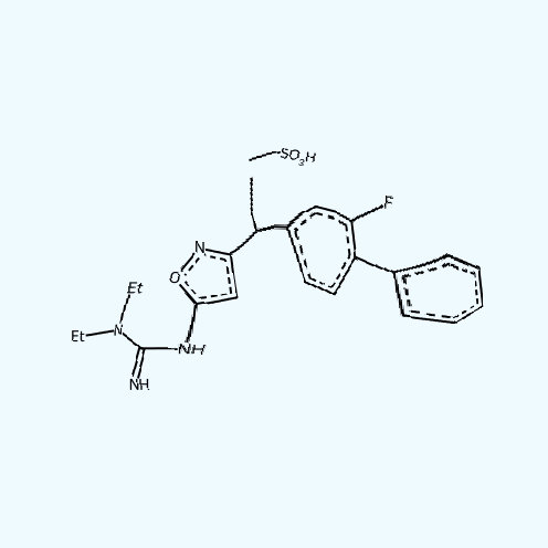 CCN(CC)C(=N)Nc1cc(C(C)c2ccc(-c3ccccc3)c(F)c2)no1.CS(=O)(=O)O